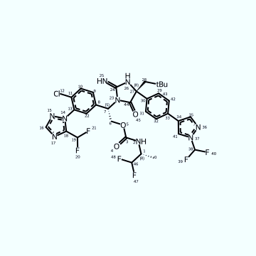 C[C@@H](NC(=O)OC[C@H](c1ccc(Cl)c(-n2ncnc2C(F)F)c1)N1C(=N)N[C@](CC(C)(C)C)(c2ccc(-c3cnn(C(F)F)c3)cc2)C1=O)C(F)F